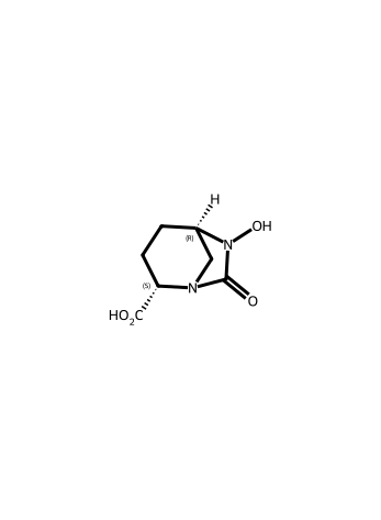 O=C(O)[C@@H]1CC[C@@H]2CN1C(=O)N2O